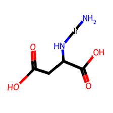 [NH2][Ir][NH]C(CC(=O)O)C(=O)O